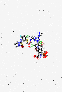 CCNc1nc(Cl)nc(NC(C)(C)C)n1.CCc1cccc(C)c1N(C(=O)CCl)C(C)COC.COC(=O)CSc1cc(/N=c2\sc(=O)n3n2CCCC3)c(F)cc1Cl.O=C(O)CNCP(=O)(O)O